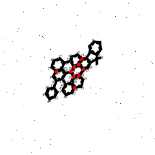 CC1(C)c2ccccc2-c2ccc(-c3ccccc3N(c3ccccc3-c3ccccc3)c3cccc(-c4ccccc4)c3-c3ccccc3-c3ccccc3)cc21